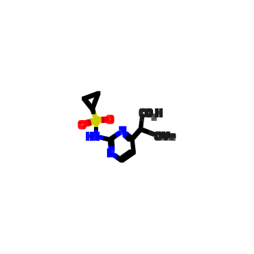 COC(C(=O)O)c1ccnc(NS(=O)(=O)C2CC2)n1